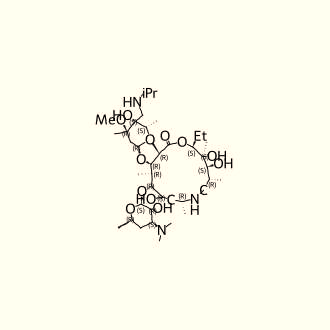 CC[C@@H]1OC(=O)[C@H](C)[C@H](O[C@H]2C[C@@](C)(OC)[C@](O)(CNC(C)C)[C@H](C)O2)[C@@H](C)[C@@H](O[C@@H]2O[C@H](C)C[C@H](N(C)C)[C@H]2O)[C@](C)(O)C[C@@H](C)NC[C@@H](C)[C@H](O)[C@]1(C)O